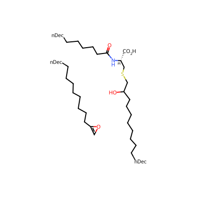 CCCCCCCCCCCCCCCCCCC(O)CSC[C@H](NC(=O)CCCCCCCCCCCCCCC)C(=O)O.CCCCCCCCCCCCCCCCCCC1=CO1